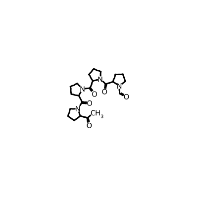 CC(=O)C1CCCN1C(=O)C1CCCN1C(=O)C1CCCN1C(=O)C1CCCN1C=O